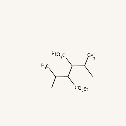 CCOC(=O)C(C(C(=O)OCC)C(C)C(F)(F)F)C(C)C(F)(F)F